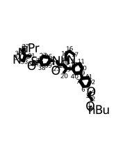 CCCCOCCOc1ccc(-c2ccc(N3CCCC3)c(C(C)=CC(=O)Nc3ccc([S@@+]([O-])Cc4cncn4CCC)cc3)c2)cc1